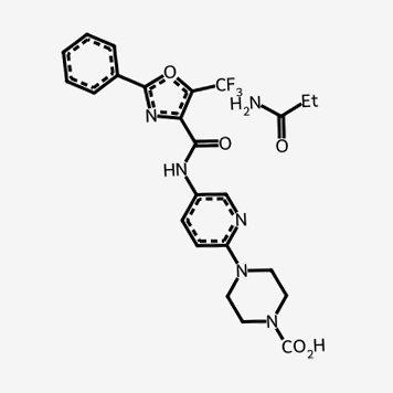 CCC(N)=O.O=C(Nc1ccc(N2CCN(C(=O)O)CC2)nc1)c1nc(-c2ccccc2)oc1C(F)(F)F